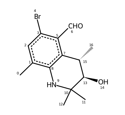 Cc1cc(Br)c(C=O)c2c1NC(C)(C)[C@H](O)[C@H]2C